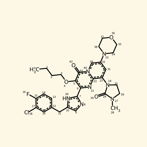 CCCCOc1c(-c2ncc(Cc3ccc(F)c(Cl)c3)[nH]2)nc2c(N3CCN(C)C3=O)cc(N3CCOCC3)cn2c1=O